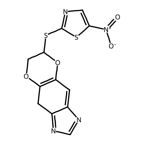 O=[N+]([O-])c1cnc(SC2COC3=C(C=C4N=CN=C4C3)O2)s1